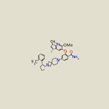 C=C1C=C(F)c2cc(Oc3cc(N4CCC5(CC4)CN(C4CCCC4c4ccccc4C(F)(F)F)C5)ccc3C(N)=O)c(OC)nc21